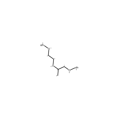 CCCOCCOC(C)COCCC